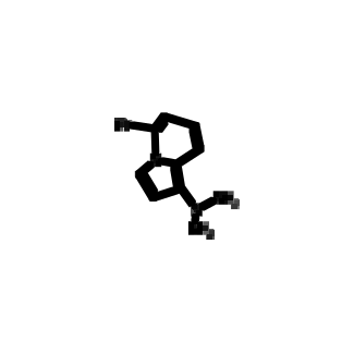 CC(C)c1cccc2c(N(N)N)ccn12